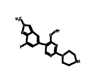 CCCOc1nc(N2CCNCC2)ncc1-c1cc(F)c2nn(C)cc2c1